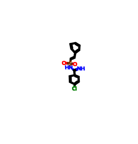 N=C(NS(=O)(=O)C=Cc1ccccc1)c1ccc(Cl)cc1